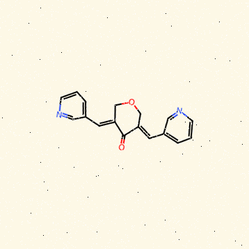 O=C1/C(=C/c2cccnc2)COC/C1=C\c1cccnc1